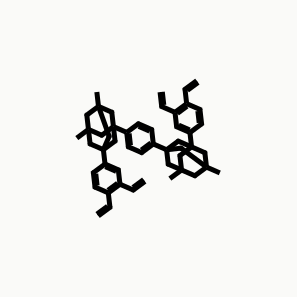 C=Cc1ccc(C23CC4(C)CC(C)(CC(c5ccc(C67CC8(C)CC(C)(C6)CC(c6ccc(C=C)c(C=C)c6)(C8)C7)cc5)(C4)C2)C3)cc1C=C